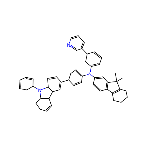 CC1(C)C2=C(CCCC2)c2ccc(N(C3=CCC(C4=CC5C6C=CCCC6N(C6C=CC=CC6)C5C=C4)C=C3)C3=CC=CC(c4cccnc4)C3)cc21